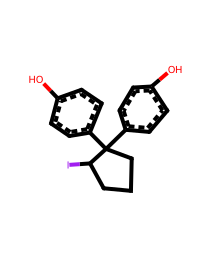 Oc1ccc(C2(c3ccc(O)cc3)CCCC2I)cc1